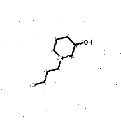 [O]CCCN1CCCC(O)C1